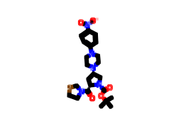 CC(C)(C)OC(=O)N1C[C@@H](N2CCN(c3ccc([N+](=O)[O-])cc3)CC2)C[C@H]1C(=O)N1CCSC1